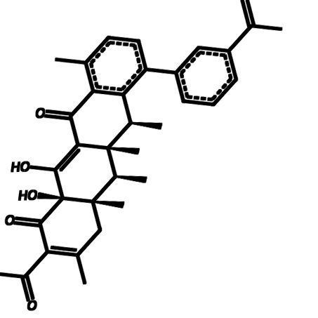 C=C(C)c1cccc(-c2ccc(C)c3c2[C@@H](C)[C@@]2(C)C(=C(O)[C@@]4(O)C(=O)C(C(C)=O)=C(C)C[C@@]4(C)[C@@H]2C)C3=O)c1